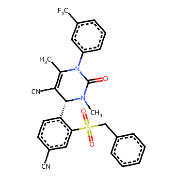 [C-]#[N+]C1=C(C)N(c2cccc(C(F)(F)F)c2)C(=O)N(C)[C@@H]1c1ccc(C#N)cc1S(=O)(=O)Cc1ccccc1